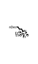 CCCCCCCCCCCCCC(N=C=O)[Si](OCC)(OCC)OCC